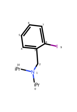 CC(C)N(Cc1ccccc1I)C(C)C